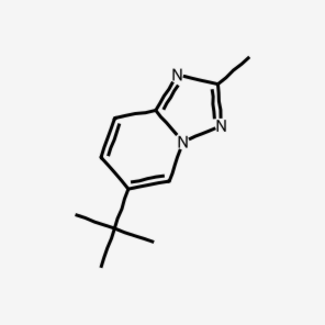 Cc1nc2ccc(C(C)(C)C)cn2n1